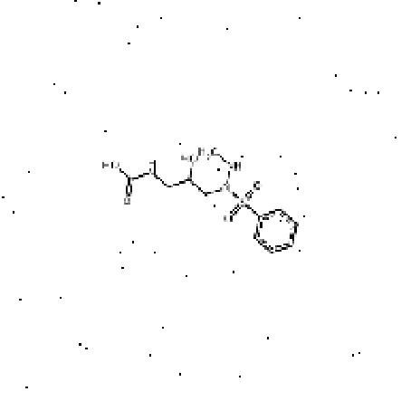 CNN(CC(O)CNC(=O)O)S(=O)(=O)c1ccccc1